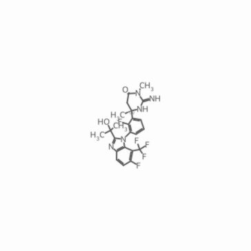 CN1C(=N)N[C@](C)(c2cccc(-n3c(C(C)(C)O)nc4ccc(F)c(C(F)(F)F)c43)c2F)CC1=O